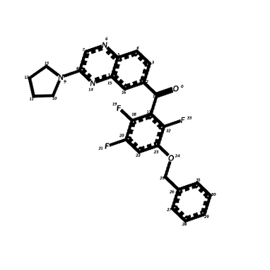 O=C(c1ccc2ncc(N3CCCC3)nc2c1)c1c(F)c(F)cc(OCc2ccccc2)c1F